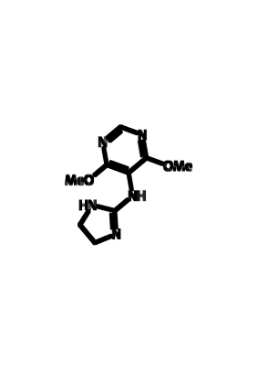 COc1ncnc(OC)c1NC1=NCCN1